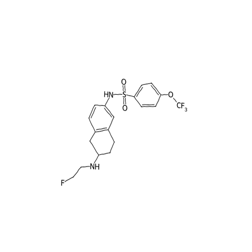 O=S(=O)(Nc1ccc2c(c1)CCC(NCCF)C2)c1ccc(OC(F)(F)F)cc1